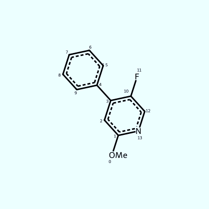 COc1cc(-c2[c]cccc2)c(F)cn1